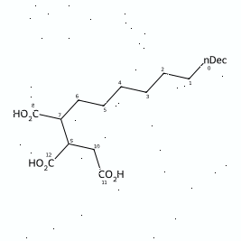 CCCCCCCCCCCCCCCCC(C(=O)O)C(CC(=O)O)C(=O)O